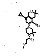 CSCCC(=O)N1CCN(c2nc(C3CC3)c3c(c2C#N)CC(C)(C)OC3)CC1(C)C